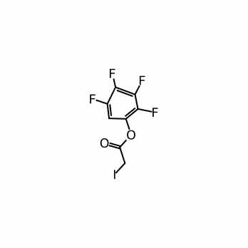 O=C(CI)Oc1cc(F)c(F)c(F)c1F